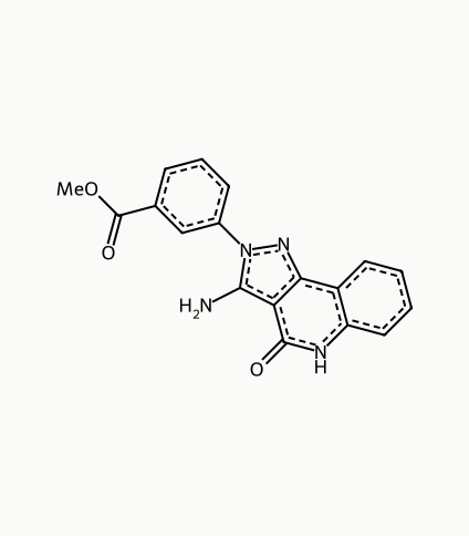 COC(=O)c1cccc(-n2nc3c(c2N)c(=O)[nH]c2ccccc23)c1